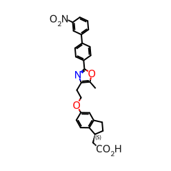 Cc1oc(-c2ccc(-c3cccc([N+](=O)[O-])c3)cc2)nc1CCOc1ccc2c(c1)CC[C@H]2CC(=O)O